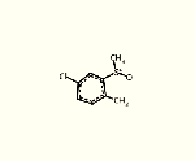 Cc1ccc(Cl)cc1[S+](C)[O-]